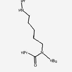 CCCCN(CCCCCNC(C)C)C(=O)CCC